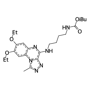 CCOc1cc2nc(NCCCCNC(=O)OCC(C)C)c3nnc(C)n3c2cc1OCC